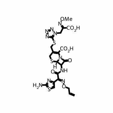 C=CCON=C(C(=O)NC1C(=O)N2C(C(=O)O)=C(CSc3nnnn3CC(=NOC)C(=O)O)CS[C@@H]12)c1csc(N)n1